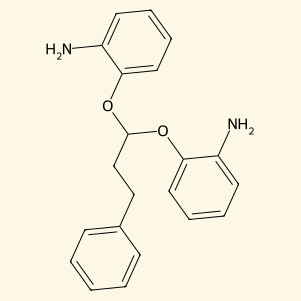 Nc1ccccc1OC(CCc1ccccc1)Oc1ccccc1N